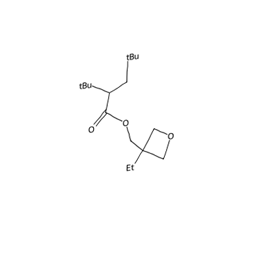 CCC1(COC(=O)C(CC(C)(C)C)C(C)(C)C)COC1